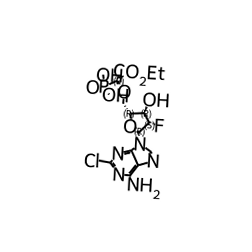 CCOC(=O)[C@H](OC[C@H]1O[C@@H](n2cnc3c(N)nc(Cl)nc32)[C@@H](F)[C@@H]1O)P(=O)(O)O